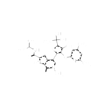 Cc1cc(C)nc(Oc2c(-c3cn(C)c(=O)c4[nH]c(C(=O)NC(C)C)cc34)sc(C(C)(C)O)c2C)c1